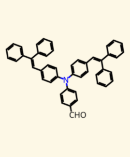 O=Cc1ccc(N(c2ccc(C=C(c3ccccc3)c3ccccc3)cc2)c2ccc(C=C(c3ccccc3)c3ccccc3)cc2)cc1